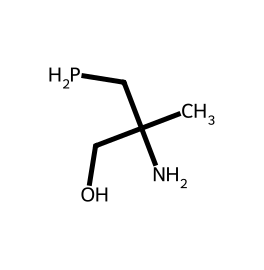 CC(N)(CO)CP